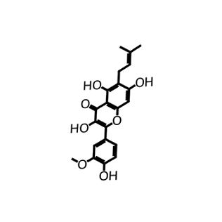 COc1cc(-c2oc3cc(O)c(CC=C(C)C)c(O)c3c(=O)c2O)ccc1O